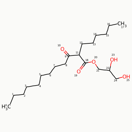 CCCCCCCCCC(=O)C(CCCCCC)C(=O)OCC(O)CO